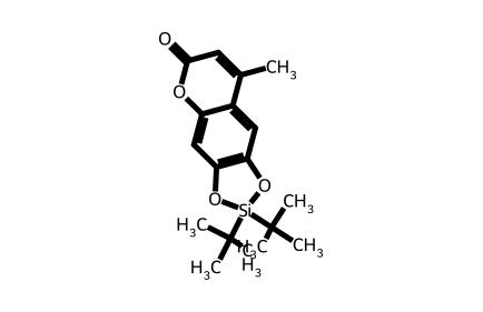 Cc1cc(=O)oc2cc3c(cc12)O[Si](C(C)(C)C)(C(C)(C)C)O3